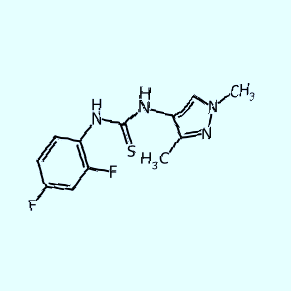 Cc1nn(C)cc1NC(=S)Nc1ccc(F)cc1F